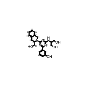 OCC(CO)Nc1nc(-c2cccc(O)c2)nc(N2Cc3ccccc3C[C@@H]2CO)n1